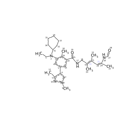 CCN(c1cc(-c2cn(C)nc2C)cc(C(=O)NC/C(C)=C(C)/C=C(/C)NC=O)c1C)C1CCCCC1